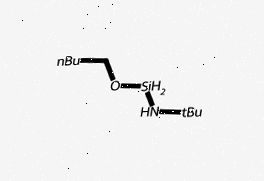 CCCCCO[SiH2]NC(C)(C)C